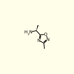 Cc1noc([C@H](C)N)n1